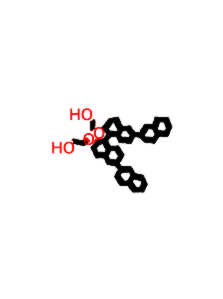 OCCOC1(OCCO)CC=c2cc(-c3ccc4ccccc4c3)ccc2=C1c1cccc2cc(-c3ccc4ccccc4c3)ccc12